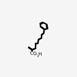 C=C(CCCCCCCc1ccccc1)C(=O)O